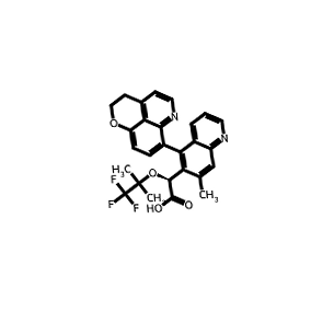 Cc1cc2ncccc2c(-c2ccc3c4c(ccnc24)CCO3)c1[C@H](OC(C)(C)C(F)(F)F)C(=O)O